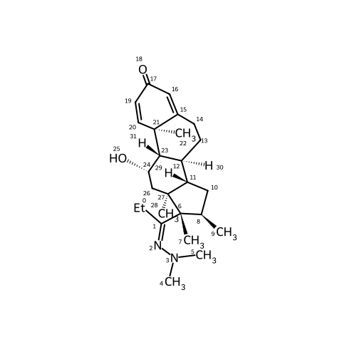 CC/C(=N/N(C)C)[C@@]1(C)[C@H](C)C[C@H]2[C@@H]3CCC4=CC(=O)C=C[C@]4(C)[C@H]3[C@@H](O)C[C@@]21C